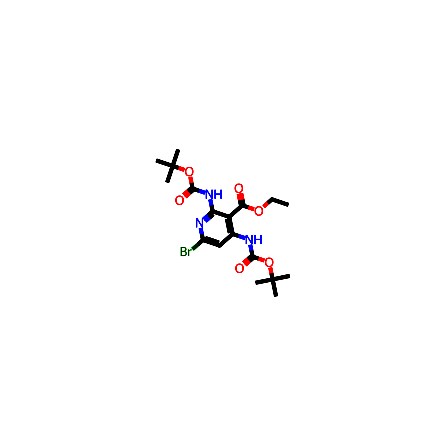 CCOC(=O)c1c(NC(=O)OC(C)(C)C)cc(Br)nc1NC(=O)OC(C)(C)C